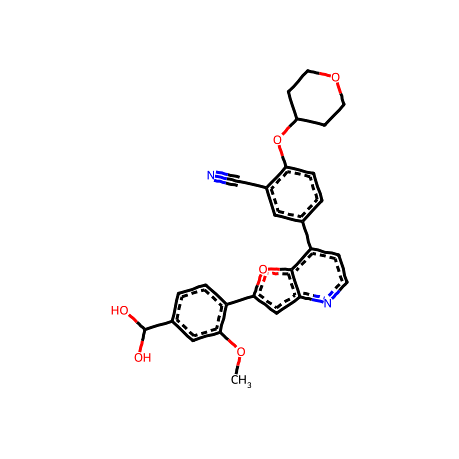 COc1cc(C(O)O)ccc1-c1cc2nccc(-c3ccc(OC4CCOCC4)c(C#N)c3)c2o1